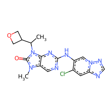 CC(C1COC1)n1c(=O)n(C)c2cnc(Nc3cn4ncnc4cc3Cl)nc21